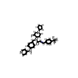 CN(c1ccncc1)c1ccc(CN(C(=O)/C=C/c2ccc(C(F)(F)F)cc2)[C@H]2CCN(C3CCCC3)C[C@@H]2F)cc1